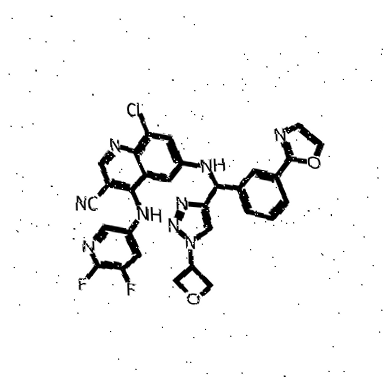 N#Cc1cnc2c(Cl)cc(NC(c3cccc(-c4ncco4)c3)c3cn(C4COC4)nn3)cc2c1Nc1cnc(F)c(F)c1